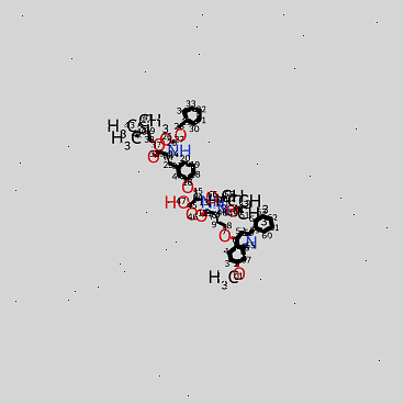 COc1ccc2c(OCC[C@@H](C(=O)N[C@@H](COc3cccc(C[C@H](NC(=O)OCc4ccccc4)C(=O)OCC[Si](C)(C)C)c3)C(=O)O)N(OC(C)(C)C)C(C)=O)cc(-c3ccccc3)nc2c1